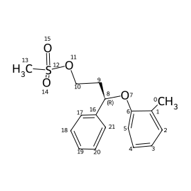 Cc1ccccc1O[C@H](CCOS(C)(=O)=O)c1ccccc1